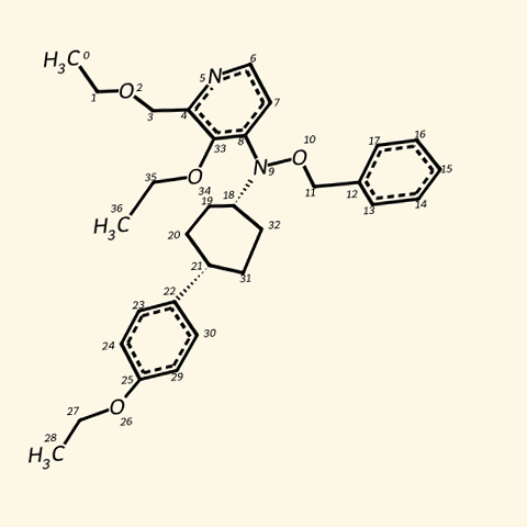 CCOCc1nccc(N(OCc2ccccc2)[C@H]2CC[C@@H](c3ccc(OCC)cc3)CC2)c1OCC